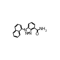 NC(=O)c1cccc2c1nnn2-c1cccc2ccccc12